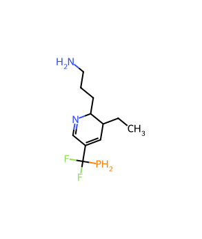 CCC1C=C(C(F)(F)P)C=NC1CCCN